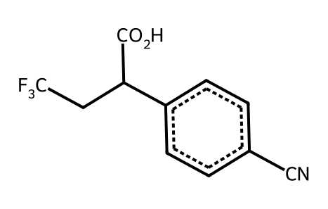 N#Cc1ccc(C(CC(F)(F)F)C(=O)O)cc1